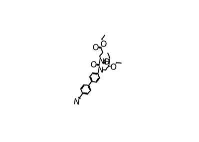 CCOC(=O)CCNC(=O)N(CC(OCC)OCC)c1ccc(-c2ccc(C#N)cc2)cc1